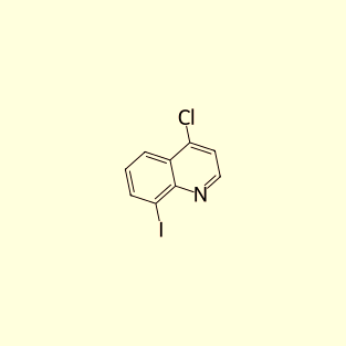 Clc1ccnc2c(I)cccc12